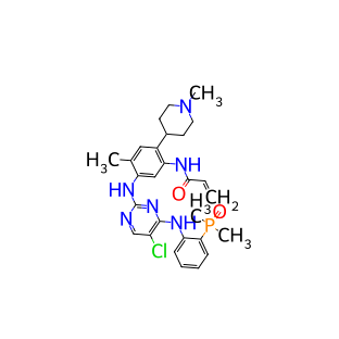 C=CC(=O)Nc1cc(Nc2ncc(Cl)c(Nc3ccccc3P(C)(C)=O)n2)c(C)cc1C1CCN(C)CC1